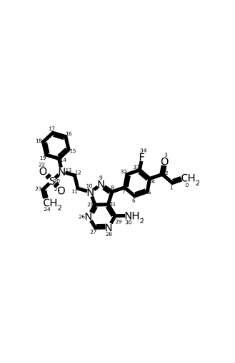 C=CC(=O)c1ccc(-c2nn(CCN(c3ccccc3)S(=O)(=O)C=C)c3ncnc(N)c23)cc1F